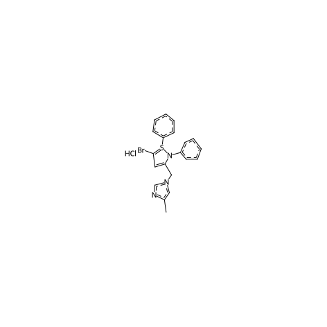 Cc1cn(CC2=CC(Br)=S(c3ccccc3)N2c2ccccc2)cn1.Cl